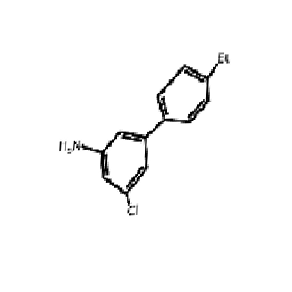 CCc1ccc(-c2cc(N)cc(Cl)c2)cc1